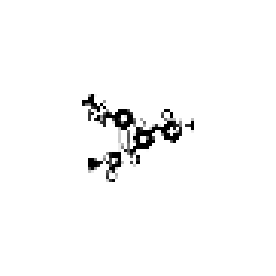 CC(C)c1nnc(-c2ccc(Oc3cc(C(=O)N[C@H]4CC(=O)N(C5CC5)C4)ccc3Cc3ccc[nH]c3=O)cc2)s1